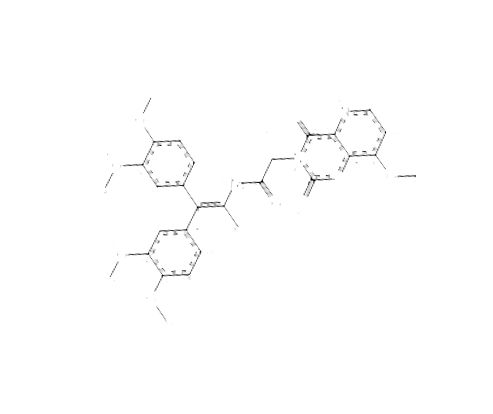 COc1ccc(C(=C(C)NC(=O)[C@H](C)n2c(=O)oc3c(OC)ccnc3c2=O)c2ccc(OC)c(OC)c2)cc1OC